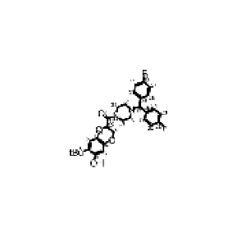 CC(C)(C)c1cc2c(cc1O)OCC(C(=O)N1CCN(C(c3ccc(F)cc3)c3ccc(F)cc3)CC1)O2